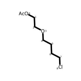 CC(=O)OCCOCCCCCl